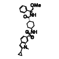 COC[C@@H](NC(=O)[C@H]1CC[C@H](NS(=O)(=O)c2ccc3cc(C4CC4)n(C)c3c2)CC1)c1ccccc1